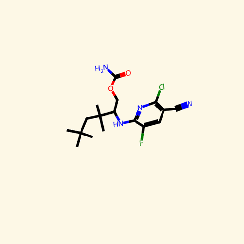 CC(C)(C)CC(C)(C)C(COC(N)=O)Nc1nc(Cl)c(C#N)cc1F